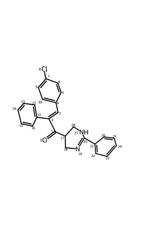 O=C(/C(=C/c1ccc(Cl)cc1)c1ccccc1)C1CN=C(c2ccccc2)NC1